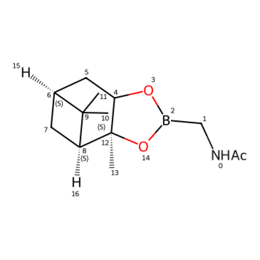 CC(=O)NCB1OC2C[C@@H]3C[C@@H](C3(C)C)[C@]2(C)O1